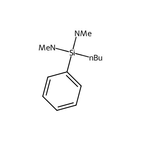 CCCC[Si](NC)(NC)c1ccccc1